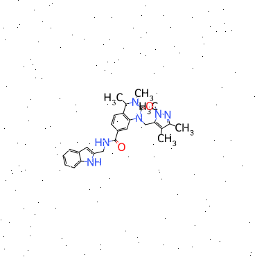 Cc1nn(C)c(CN2C(=O)N(C)C(C)c3ccc(C(=O)NCc4cc5ccccc5[nH]4)cc32)c1C